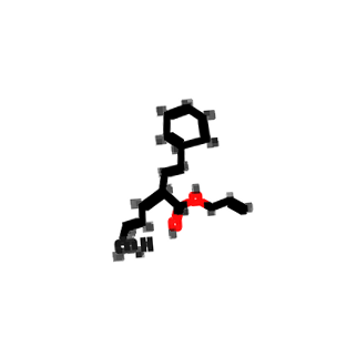 C=CCOC(=O)C(C=Cc1ccccc1)=CC=CC(=O)O